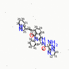 CC(NC(=O)c1c(N)nn2cccnc12)c1cc2cccc(C#Cc3cnn4ccccc34)c2c(=O)n1-c1ccccc1